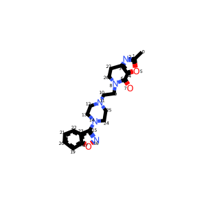 Cc1nc2c(o1)C(=O)N(CCN1CCN(c3noc4ccccc34)CC1)CC2